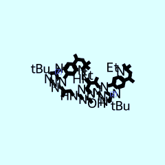 CCN1c2cc(C)c(/N=C3/C(C(C)(C)C)=Nn4nc(C(C)CNc5nc(O)nc(C(=N)C(C)c6nc7n(n6)N=C(C(C)(C)C)/C7=N/c6cc7c(cc6C)N(CC)C(C)(C)CC7C)n5)nc43)cc2C(C)CC1(C)C